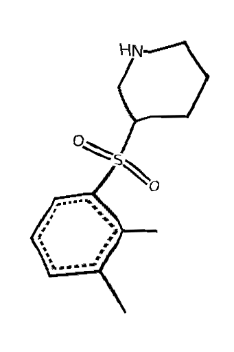 Cc1cccc(S(=O)(=O)C2CCCNC2)c1C